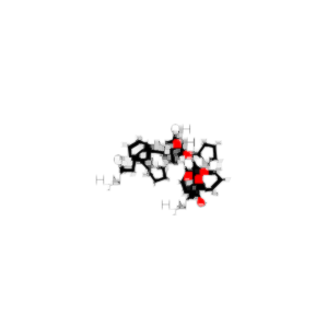 Cc1ccc(N2[C@H](C3CCCN3[C@@]3(C(=O)NC(=O)O)c4ccc(cc4)C3(C)CC(N)=O)CC[C@H]2C2CCCN2[C@@]2(C(=O)NC(=O)O)c3ccc(cc3)C2(C)CC(N)=O)cc1